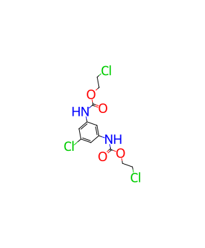 O=C(Nc1cc(Cl)cc(NC(=O)OCCCl)c1)OCCCl